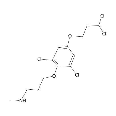 CNCCCOc1c(Cl)cc(OCC=C(Cl)Cl)cc1Cl